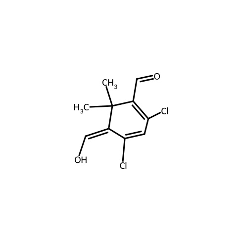 CC1(C)C(C=O)=C(Cl)C=C(Cl)/C1=C\O